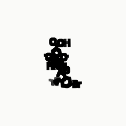 COc1cc(C(=O)O)cc(OC)c1S(=O)(=O)Nc1noc2c1C[C@@]1(C[C@@H]1C)c1ccc(Br)cc1-2